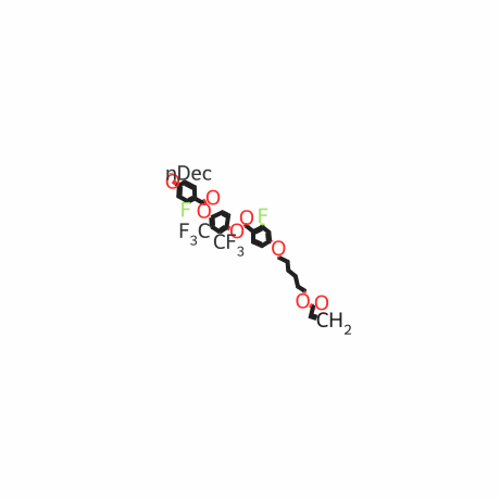 C=CC(=O)OCCCCCCOc1ccc(C(=O)Oc2ccc(OC(=O)c3ccc(OCCCCCCCCCC)cc3F)c(C(F)(F)F)c2C(F)(F)F)c(F)c1